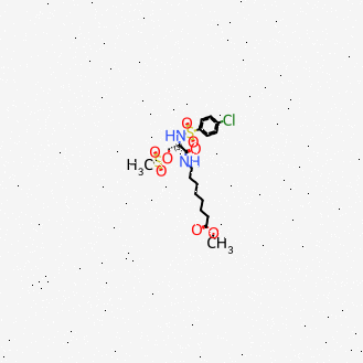 COC(=O)CCCCCCCNC(=O)[C@H](COS(C)(=O)=O)NS(=O)(=O)c1ccc(Cl)cc1